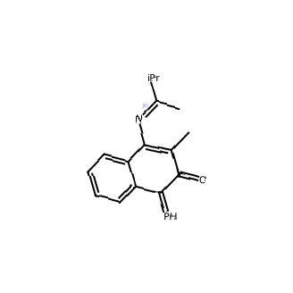 CC1=C(/N=C(\C)C(C)C)c2ccccc2C(=P)C1=O